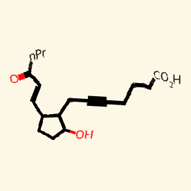 CCCC(=O)C=CC1CCC(O)C1CC#CCCCC(=O)O